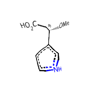 CO[C@@H](C(=O)O)c1cc[nH]c1